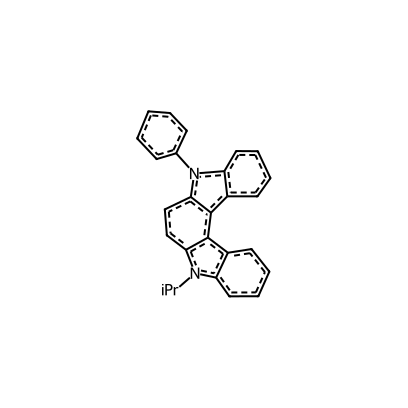 CC(C)n1c2ccccc2c2c3c4ccccc4n(-c4ccccc4)c3ccc21